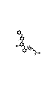 C[C@@H]1CN(c2cc(O)cc(Cc3ccccc3-c3nnn(CCCC(=O)O)n3)c2)[C@@H](C)CN1Cc1ccccc1